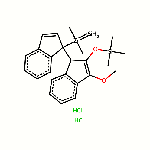 COC1=C(O[Si](C)(C)C)C([C]2([Zr]([CH3])([CH3])=[SiH2])C=Cc3ccccc32)c2ccccc21.Cl.Cl